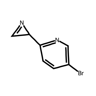 Brc1ccc(C2C=N2)nc1